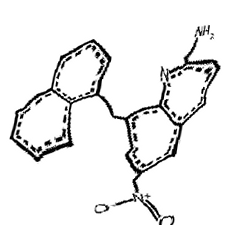 Nc1ccc2cc([N+](=O)[O-])cc(-c3cccc4ccccc34)c2n1